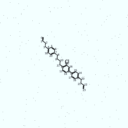 C=CCCc1ccc(CCCCc2ccc(-c3ccc(CCC=C)cc3)cc2Cl)cc1